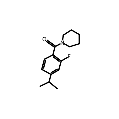 CC(C)c1ccc(C(=O)N2CCCCC2)c(F)c1